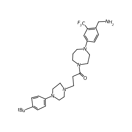 CC(C)(C)c1ccc(N2CCN(CCC(=O)N3CCCN(c4ccc(CN)c(C(F)(F)F)c4)CC3)CC2)cc1